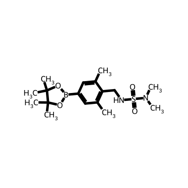 Cc1cc(B2OC(C)(C)C(C)(C)O2)cc(C)c1CNS(=O)(=O)N(C)C